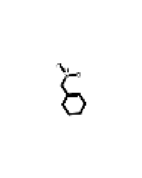 Cl[SiH](Cl)CC1=CCCCC1